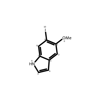 COc1cc2cc[nH]c2cc1I